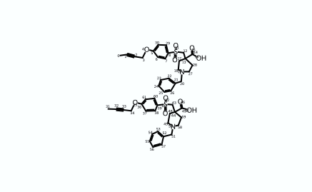 CC#CCOc1ccc(S(=O)(=O)CC2(C(=O)O)CCN(Cc3ccccc3)CC2)cc1.CC#CCOc1ccc(S(=O)(=O)CC2(C(=O)O)CCN(Cc3ccccc3)CC2)cc1